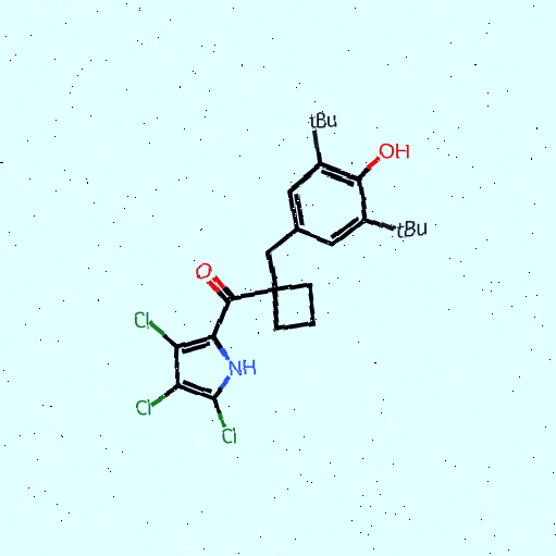 CC(C)(C)c1cc(CC2(C(=O)c3[nH]c(Cl)c(Cl)c3Cl)CCC2)cc(C(C)(C)C)c1O